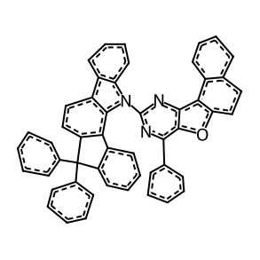 c1ccc(-c2nc(-n3c4ccccc4c4ccc5c(c43)-c3ccccc3C5(c3ccccc3)c3ccccc3)nc3c2oc2ccc4ccccc4c23)cc1